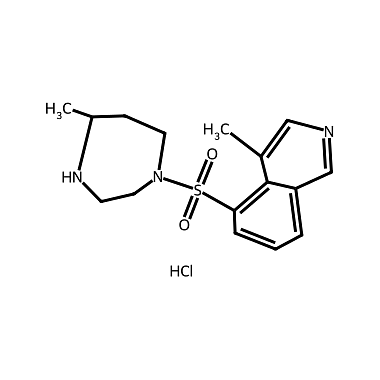 Cc1cncc2cccc(S(=O)(=O)N3CCNC(C)CC3)c12.Cl